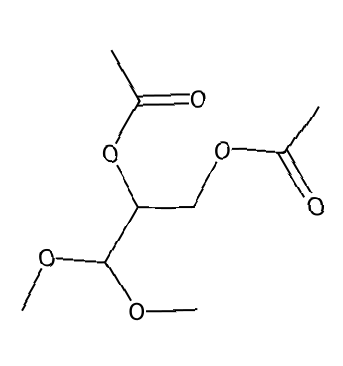 COC(OC)C(COC(C)=O)OC(C)=O